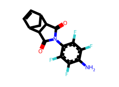 Nc1c(F)c(F)c(N2C(=O)C3C4C=CC(C4)C3C2=O)c(F)c1F